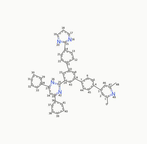 Cc1cc(-c2ccc(-c3cc(-c4ccc(-c5ncccn5)cc4)cc(-c4nc(-c5ccccc5)cc(-c5ccccc5)n4)c3)cc2)cc(C)n1